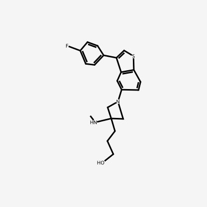 CNC1(CCCO)CN(c2ccc3scc(-c4ccc(F)cc4)c3c2)C1